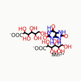 O=C([O-])C(O)C(O)C(O)C(O)CO.O=C([O-])C(O)C(O)C(O)C(O)CO.O=c1[nH]c(=O)c2[nH]c(=O)[nH]c2[nH]1.[Mn+2]